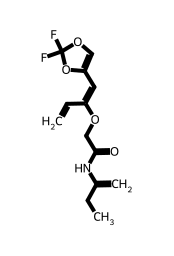 C=C/C(=C\C1=COC(F)(F)O1)OCC(=O)NC(=C)CC